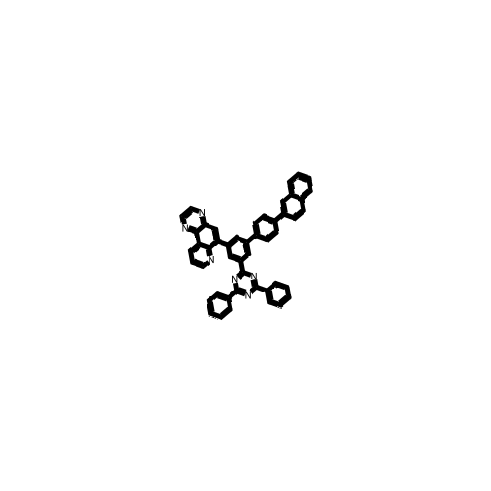 c1ccc(-c2nc(-c3ccccc3)nc(-c3cc(-c4ccc(-c5ccc6ccccc6c5)cc4)cc(-c4cc5nccnc5c5cccnc45)c3)n2)cc1